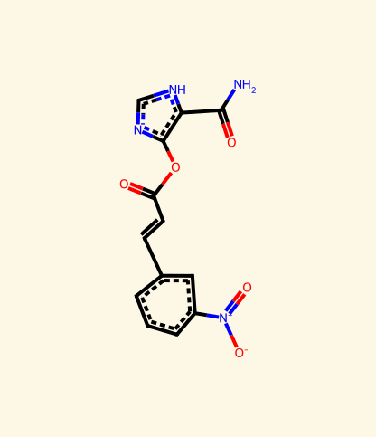 NC(=O)c1[nH]cnc1OC(=O)C=Cc1cccc([N+](=O)[O-])c1